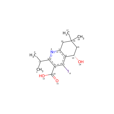 CC(C)c1nc2c(c(I)c1C(=O)O)[C@@H](O)CC(C)(C)C2